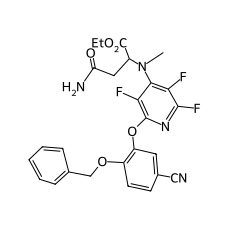 CCOC(=O)C(CC(N)=O)N(C)c1c(F)c(F)nc(Oc2cc(C#N)ccc2OCc2ccccc2)c1F